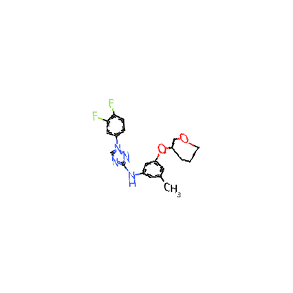 Cc1cc(Nc2ncn(-c3ccc(F)c(F)c3)n2)cc(OC2CCCOC2)c1